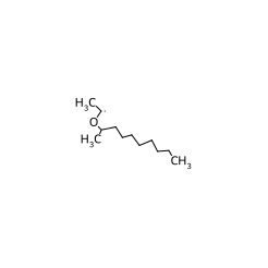 C[CH]OC(C)CCCCCCCC